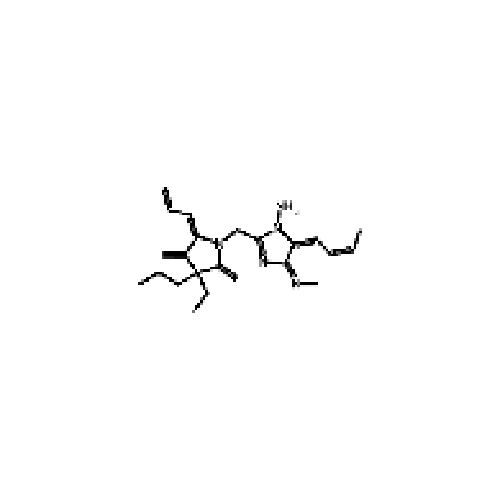 C=C/C=C1\C(=C)C(CC)(CCC)C(=C)N1CC1=NC(=N/C)/C(=C\C=C/C)N1N